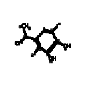 CC(Cl)c1cc(I)c(O)c(O)c1I